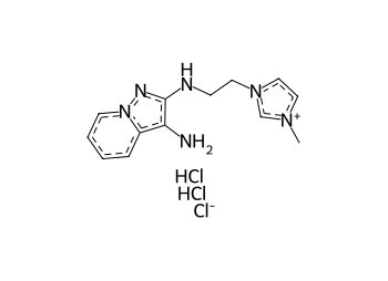 C[n+]1ccn(CCNc2nn3ccccc3c2N)c1.Cl.Cl.[Cl-]